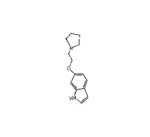 c1cc2ccc(OCCN3CCCC3)cc2[nH]1